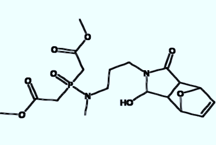 COC(=O)CP(=O)(CC(=O)OC)N(C)CCCN1C(=O)C2C3C=CC(O3)C2C1O